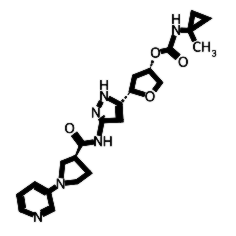 CC1(NC(=O)O[C@@H]2CO[C@H](c3cc(NC(=O)[C@H]4CCN(c5cccnc5)C4)n[nH]3)C2)CC1